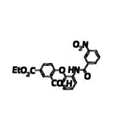 CCOC(=O)c1ccc(Oc2ccccc2NC(=O)c2cccc([N+](=O)[O-])c2)c(C(=O)O)c1